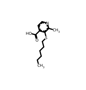 CCCCCCSc1c(C(=O)O)ccnc1C